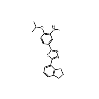 CNc1cc(-c2nnc(-c3cccc4c3CCC4)s2)ccc1OC(C)C